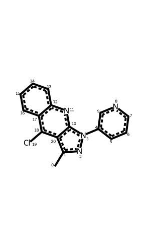 Cc1nn(-c2cccnc2)c2nc3ccccc3c(Cl)c12